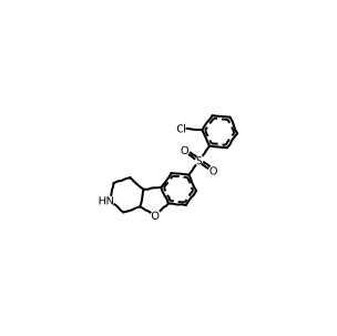 O=S(=O)(c1ccc2c(c1)C1CCNCC1O2)c1ccccc1Cl